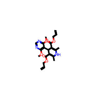 C=CCOC(=O)C1=C(C)NC(C)=C(C(=O)OCC=C)C1c1c(OC)ncnc1OC